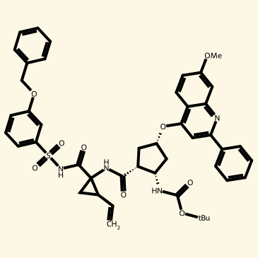 C=CC1CC1(NC(=O)[C@@H]1C[C@H](Oc2cc(-c3ccccc3)nc3cc(OC)ccc23)C[C@@H]1NC(=O)OC(C)(C)C)C(=O)NS(=O)(=O)c1cccc(OCc2ccccc2)c1